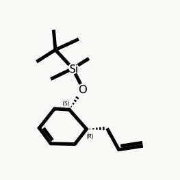 C=CC[C@@H]1CC=CC[C@@H]1O[Si](C)(C)C(C)(C)C